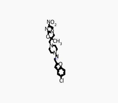 CC1(CN2CCN(/N=C/c3cc4cc(Cl)ccc4o3)CC2)Cn2cc([N+](=O)[O-])nc2O1